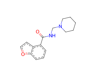 O=C(NCN1CCCCC1)c1cccc2occc12